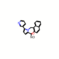 Cc1ccc2ccccc2c1Cn1c(C(=O)N=O)ccc1-c1cccnc1